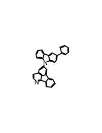 c1ccc(-c2ccc3c(c2)c2ccccc2n3-c2cc3c4c(nccc4c2)-c2ccccc2-3)cc1